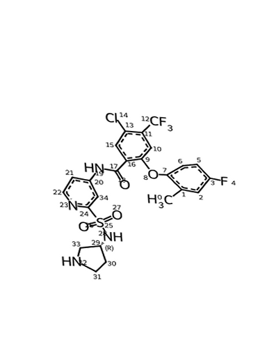 Cc1cc(F)ccc1Oc1cc(C(F)(F)F)c(Cl)cc1C(=O)Nc1ccnc(S(=O)(=O)N[C@@H]2CCNC2)c1